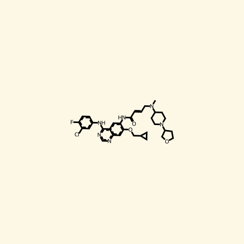 CN(CC=CC(=O)Nc1cc2c(Nc3ccc(F)c(Cl)c3)ncnc2cc1OCC1CC1)C1CCN(C2CCOC2)CC1